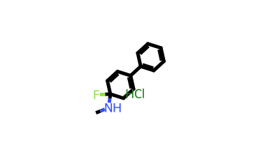 CNC1(F)C=CC(c2ccccc2)=CC1.Cl